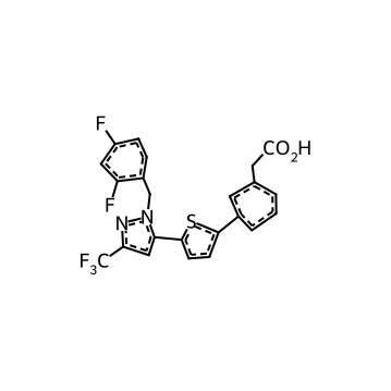 O=C(O)Cc1cccc(-c2ccc(-c3cc(C(F)(F)F)nn3Cc3ccc(F)cc3F)s2)c1